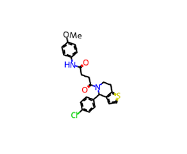 COc1ccc(NC(=O)CCC(=O)N2CCc3sccc3C2c2ccc(Cl)cc2)cc1